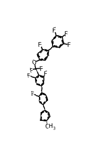 Cc1ccc(-c2ccc(-c3cc(F)c(C(F)(F)Oc4ccc(-c5cc(F)c(F)c(F)c5)c(F)c4)c(F)c3)c(F)c2)cc1